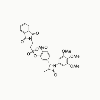 COc1ccc([C@H]2C(C)C(=O)N2c2cc(OC)c(OC)c(OC)c2)cc1OS(=O)(=O)CCN1C(=O)c2ccccc2C1=O